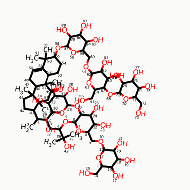 CC(CCC(OC1OC(COC2OC(CO)C(O)C(O)C2O)C(O)C(O)C1OC1OC(CO)C(O)C(O)C1O)C(C)(C)O)C1CCC2(C)C3CC=C4C(CCC(OC5OC(COC6OC(CO)C(OC7OC(CO)C(O)C(O)C7O)C(O)C6O)C(O)C(O)C5O)C4(C)C)C3(C)C(=O)CC12C